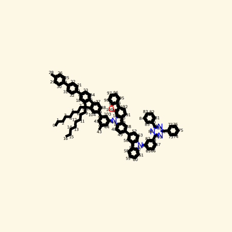 CCCCCCCCC1(CCCCCCCC)c2cc(-c3ccc(-c4ccc(C)cc4)cc3)ccc2-c2ccc(-c3cc(C)cc(-n4c5ccc(-c6ccc7c(c6)c6ccccc6n7-c6cccc(-c7nc(-c8ccccc8)nc(-c8ccccc8)n7)c6)cc5c5ccc6c7ccccc7oc6c54)c3)cc21